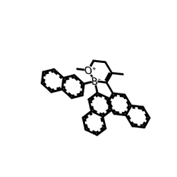 CC1=C(c2ccc3ccccc3c2)[B-](c2ccc3ccccc3c2)(c2ccc3ccccc3c2)[O+](C)CC1